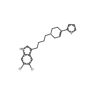 Clc1cc2[nH]cc(CCCCN3CC=C(c4cccs4)CC3)c2cc1Cl